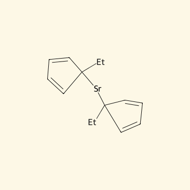 CC[C]1([Sr][C]2(CC)C=CC=C2)C=CC=C1